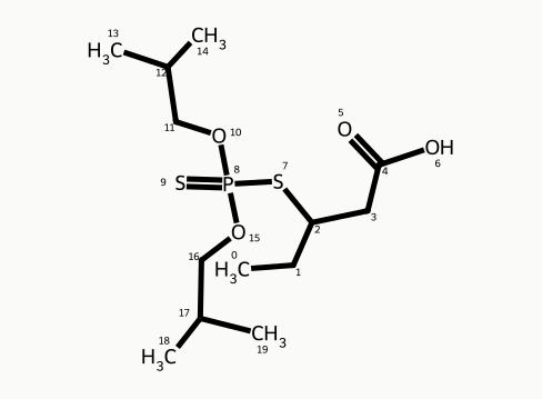 CCC(CC(=O)O)SP(=S)(OCC(C)C)OCC(C)C